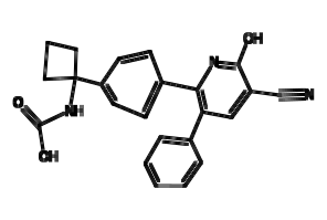 N#Cc1cc(-c2ccccc2)c(-c2ccc(C3(NC(=O)O)CCC3)cc2)nc1O